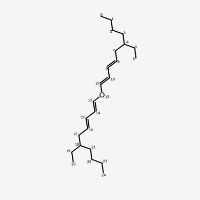 CCCCC(CC)CC=CC=COC=CC=CCC(CC)CCCC